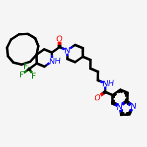 O=C(NCCCCC1CCN(C(=O)C2CC3(CCCCCCCCCC3)C(C(F)(F)F)CN2)CC1)c1ccc2nccn2c1